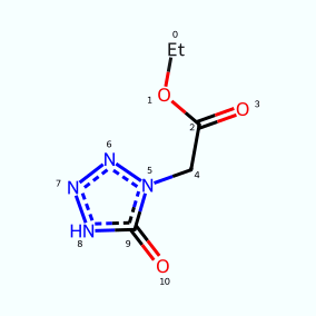 CCOC(=O)Cn1nn[nH]c1=O